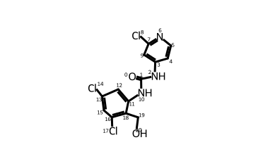 O=C(Nc1ccnc(Cl)c1)Nc1cc(Cl)cc(Cl)c1CO